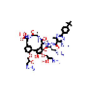 Cc1nc(-c2ccc(C(C)(C)C)cc2)nc(N)c1C(=O)N[C@@H](CCN)C(=O)N(C)C1C(=O)N[C@@H](C)C(=O)NC(C(=O)O)Cc2ccc(OC[C@H](O)CN)c(c2)-c2cc1cc(OC[C@H](O)CN)c2O